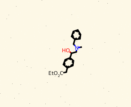 CCOC(=O)Cc1ccc(C(O)CN(C)Cc2ccccc2)cc1